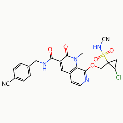 Cn1c(=O)c(C(=O)NCc2ccc(C#N)cc2)cc2ccnc(OCC3(S(=O)(=O)NC#N)CC3Cl)c21